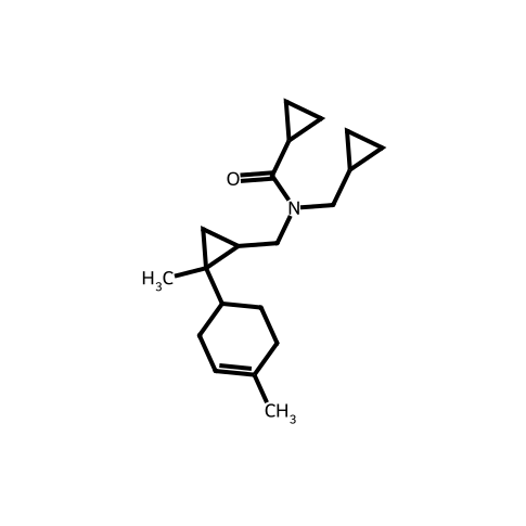 CC1=CCC(C2(C)CC2CN(CC2CC2)C(=O)C2CC2)CC1